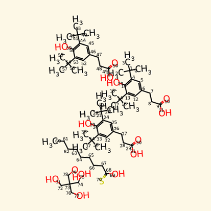 CC(C)(C)c1cc(CCC(=O)O)cc(C(C)(C)C)c1O.CC(C)(C)c1cc(CCC(=O)O)cc(C(C)(C)C)c1O.CC(C)(C)c1cc(CCC(=O)O)cc(C(C)(C)C)c1O.CCCCCCCCC(O)=S.OCC(CO)(CO)CO